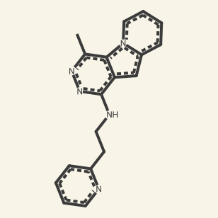 Cc1nnc(NCCc2ccccn2)c2cc3ccccn3c12